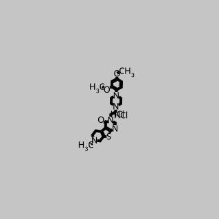 COc1ccc(N2CCN(CCn3cnc4sc5c(c4c3=O)CCN(C)C5)CC2)c(OC)c1.Cl.Cl